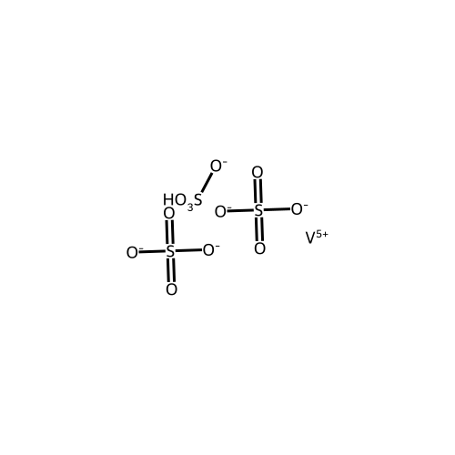 O=S(=O)([O-])O.O=S(=O)([O-])[O-].O=S(=O)([O-])[O-].[V+5]